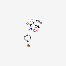 CC(C)(C(=O)N(O)Cc1ccc(Br)cc1)C(F)(F)F